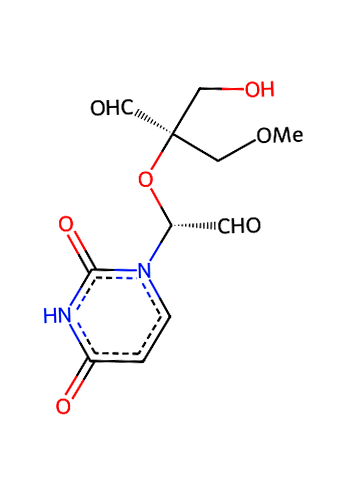 COC[C@](C=O)(CO)O[C@H](C=O)n1ccc(=O)[nH]c1=O